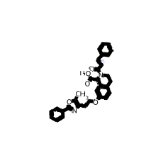 Cc1oc(-c2ccccc2)nc1CCOc1ccc2c(c1)C(C(=O)O)N(C(=O)/C=C/c1ccccc1)CC2